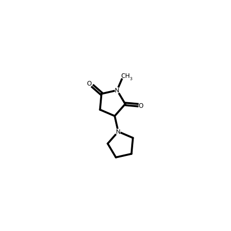 CN1C(=O)CC(N2CCCC2)C1=O